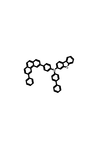 c1ccc(-c2ccc(N(c3ccc(-c4ccc5ccc6ccc(-c7ccccc7)cc6c5c4)cc3)c3ccc4c(c3)sc3ccccc34)cc2)cc1